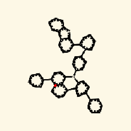 c1ccc(-c2ccc(N(c3ccc(-c4ccccc4-c4cccc5c4sc4ccccc45)cc3)c3ccc(-c4ccccc4)cc3-c3ccccc3)cc2)cc1